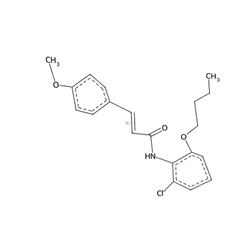 CCCCOc1cccc(Cl)c1NC(=O)/C=C/c1ccc(OC)cc1